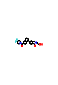 O=C(c1ccc2c(-c3ccc4c(c3)CN(CCO)C4=O)cccc2c1)N1CCC(F)(F)CC1